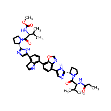 CCC(=O)N[C@H](C(=O)N1CCC[C@H]1c1ncc(-c2ccc(-c3ccc(-c4cnc([C@@H]5CCCN5C(=O)[C@@H](NC(=O)OC)C(C)C)[nH]4)c4c3N=CC4)c3ocnc23)[nH]1)C(C)C